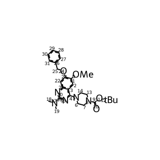 COc1cc2c(N3CCN(C(=O)OC(C)(C)C)CC3)nc(N(C)C)nc2cc1OCc1ccccc1